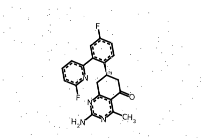 Cc1nc(N)nc2c1C(=O)C[C@H](c1ccc(F)cc1-c1cccc(F)n1)C2